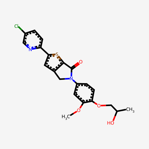 COc1cc(N2Cc3cc(-c4ccc(Cl)cn4)sc3C2=O)ccc1OCC(C)O